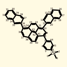 C[Si](C)(C)c1ccc(-c2cc(-c3ccc4ccccc4c3)c3ccc4c(-c5ccc6ccccc6c5)ccc5ccc2c3c54)cc1